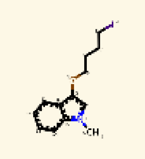 Cn1cc(SCCCCI)c2ccccc21